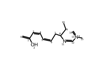 C=C(O)/C=C\C=C/CC(CC)/N=C\[N+](=C)C